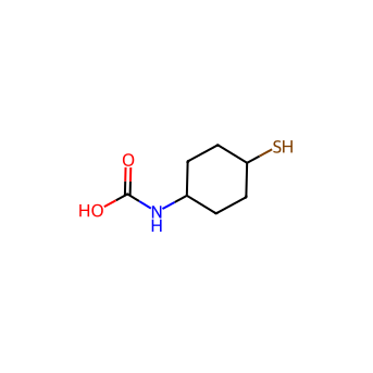 O=C(O)NC1CCC(S)CC1